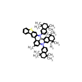 Cc1cc2c3c(c1)N(c1ccc4c(c1)C(C)(C)CCC4(C)C)c1cc4c(cc1B3N(c1ccc3c(c1)C(C)(C)CCC3(C)C)c1cc3sc5ccccc5c3cc1-2)C(C)(C)CCC4(C)C